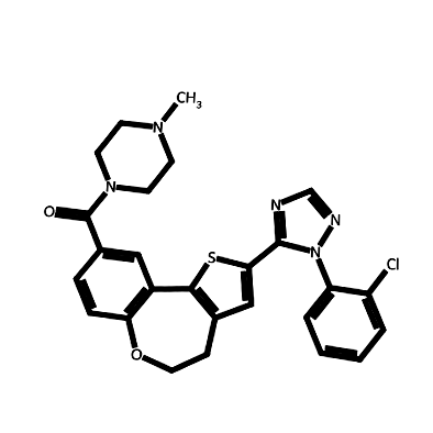 CN1CCN(C(=O)c2ccc3c(c2)-c2sc(-c4ncnn4-c4ccccc4Cl)cc2CCO3)CC1